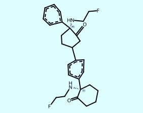 O=C1CC(c2ccc([C@@]3(NCCF)CCCCC3=O)cc2)CC[C@@]1(NCCF)c1ccccc1